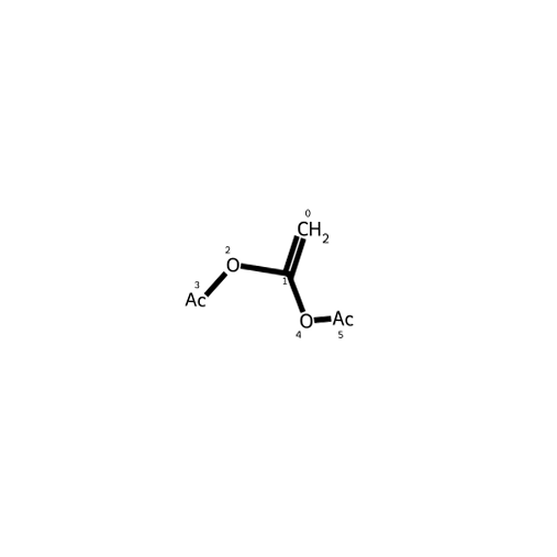 C=C(OC(C)=O)OC(C)=O